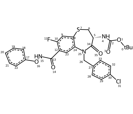 CC(C)(C)OC(=O)N[C@H]1CSc2cc(F)c(C(=O)NOc3ccccc3)cc2N(Cc2ccc(Cl)cc2)C1=O